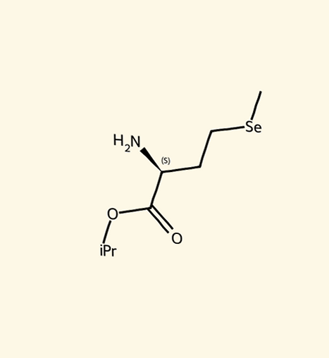 C[Se]CC[C@H](N)C(=O)OC(C)C